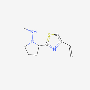 C=Cc1csc(C2CCCN2NC)n1